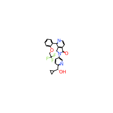 O=C1c2ccnc(-c3ccccc3OCC(F)(F)F)c2CN1c1ccc([C@H](O)C2CC2)nc1